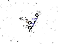 CC(C)(C)c1ccc(CNCCCN(Cc2cc(C(F)(F)F)cc(C(F)(F)F)c2)c2ccc(SCC(=O)O)cc2)cc1